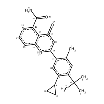 Cc1cc(C(C)(C)C)c(C2CC2)cc1-c1cc(=O)c2c(C(N)=O)nccc2[nH]1